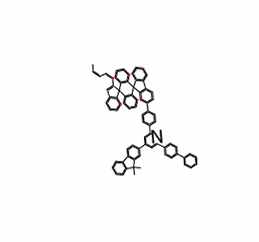 C/C=C\C=C/C1=Cc2ccccc2C12c1ccccc1C1(c3ccccc3-c3ccc(-c4ccc(-c5cc(-c6ccc7c(c6)C(C)(C)c6ccccc6-7)cc(-c6ccc(-c7ccccc7)cc6)n5)cc4)cc31)c1ccccc12